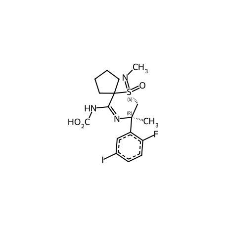 CN=[S@]1(=O)C[C@@](C)(c2cc(I)ccc2F)N=C(NC(=O)O)C12CCCC2